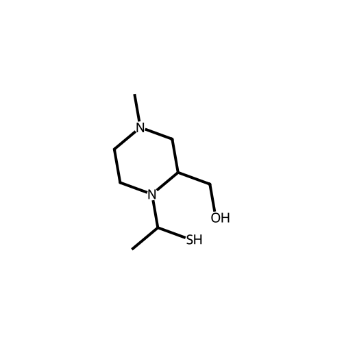 CC(S)N1CCN(C)CC1CO